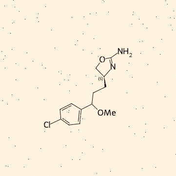 COC(CC[C@H]1COC(N)=N1)c1ccc(Cl)cc1